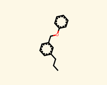 CCCc1cccc(COc2ccccc2)c1